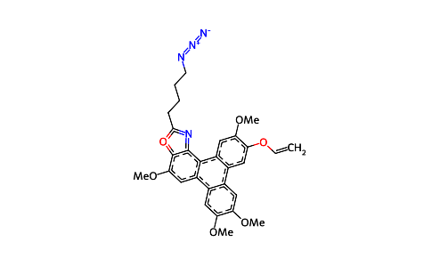 C=COc1cc2c3cc(OC)c(OC)cc3c3cc(OC)c4oc(CCCCN=[N+]=[N-])nc4c3c2cc1OC